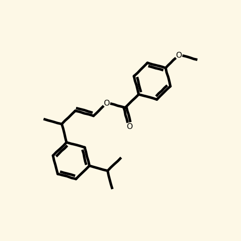 COc1ccc(C(=O)OC=CC(C)c2cccc(C(C)C)c2)cc1